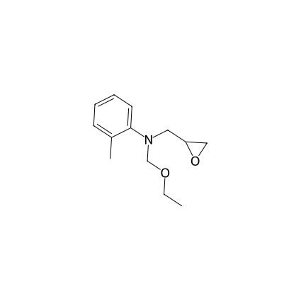 CCOCN(CC1CO1)c1ccccc1C